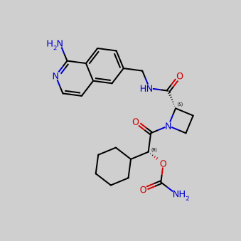 NC(=O)O[C@@H](C(=O)N1CC[C@H]1C(=O)NCc1ccc2c(N)nccc2c1)C1CCCCC1